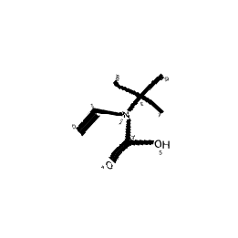 C=CN(C(=O)O)C(C)(C)C